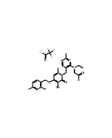 CCN(CC(=O)O)c1nc(C)ncc1Cn1c(C)cc(OCc2ccc(F)cc2F)c(Br)c1=O.O=C(O)C(F)(F)F